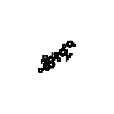 CN1CC[C@H](Oc2cc(NC(=O)N3C[C@@](C)(C(F)(F)F)c4c3ccc3cc(Cl)nn43)cc(C(F)F)n2)C1